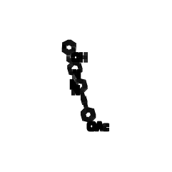 CC(=O)Oc1ccc(C#Cc2ccc(N3CCC(O)(Cc4ccccc4)CC3)nn2)cc1